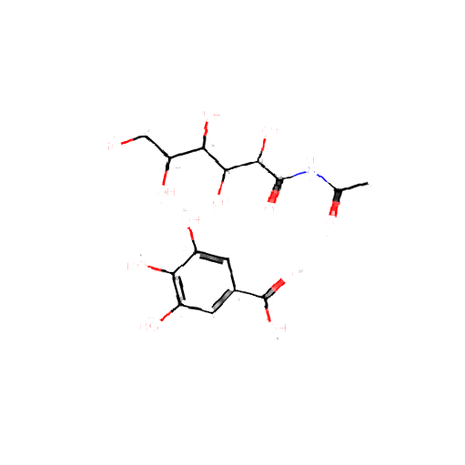 CC(=O)NC(=O)C(O)C(O)C(O)C(O)CO.O=C(O)c1cc(O)c(O)c(O)c1